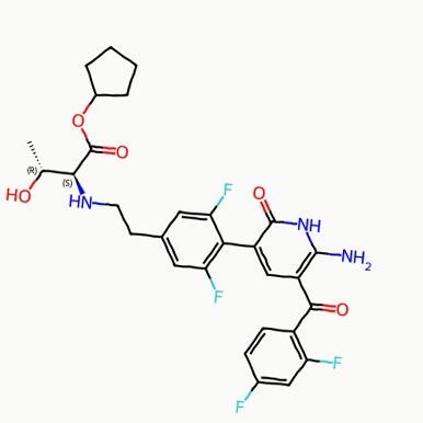 C[C@@H](O)[C@H](NCCc1cc(F)c(-c2cc(C(=O)c3ccc(F)cc3F)c(N)[nH]c2=O)c(F)c1)C(=O)OC1CCCC1